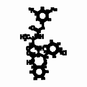 C[C@H](NC(=O)Cc1cc(F)cc(F)c1)C(=O)N[C@@H]1C(=O)Nc2ccccc2S[C@@H]1c1cccc(Cl)c1